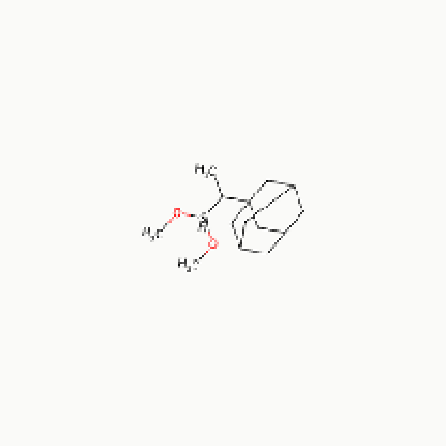 CO[SiH](OC)C(C)C12CC3CC(CC(C3)C1)C2